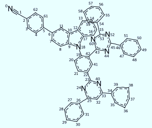 N#Cc1ccc(-c2ccc3c(c2)c2ccccc2n3-c2ccc(-c3nc(-c4ccccc4)cc(-c4ccccc4)n3)cc2-c2nc(-c3ccccc3)nc(-c3ccccc3)n2)cc1